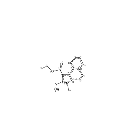 CCOC(=O)c1c(CO)n(C)c2ccc3ccccc3c12